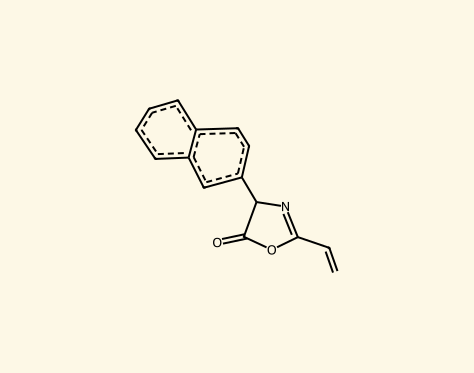 C=CC1=NC(c2ccc3ccccc3c2)C(=O)O1